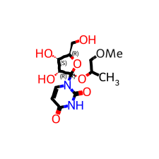 COCC(C)O[C@@]1(n2ccc(=O)[nH]c2=O)O[C@H](CO)[C@@H](O)[C@H]1O